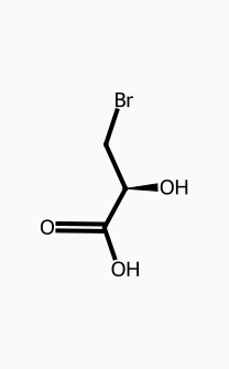 O=C(O)[C@H](O)CBr